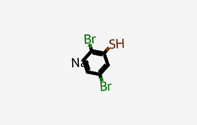 Sc1cc(Br)ccc1Br.[Na]